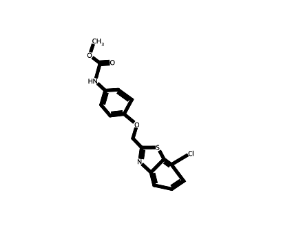 COC(=O)Nc1ccc(OCc2nc3cccc(Cl)c3s2)cc1